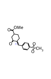 COC(=O)C1CC/C(=C\c2ccc(S(C)(=O)=O)cc2)C(=O)C1